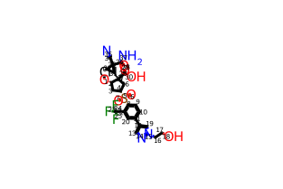 CO[C@H]1C[C@@H](S(=O)(=O)c2ccc(-c3cnn(CCO)c3)cc2C(F)(F)F)C[C@]1(C(=O)O)C1CC1(C#N)C(N)=O